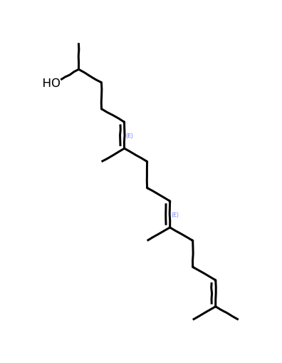 CC(C)=CCC/C(C)=C/CC/C(C)=C/CCC(C)O